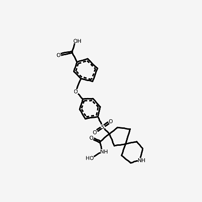 O=C(O)c1cccc(Oc2ccc(S(=O)(=O)C3(C(=O)NO)CCC4(CCNCC4)C3)cc2)c1